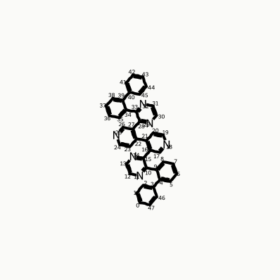 c1ccc(-c2ccccc2-c2nccnc2-c2cnccc2-c2ccncc2-c2nccnc2-c2ccccc2-c2ccccc2)cc1